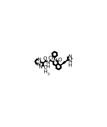 Cc1nn2cccnc2c1C(=O)N[C@@H](C)c1cc2cccc(C#Cc3cnc[nH]3)c2c(=O)n1-c1ccccc1